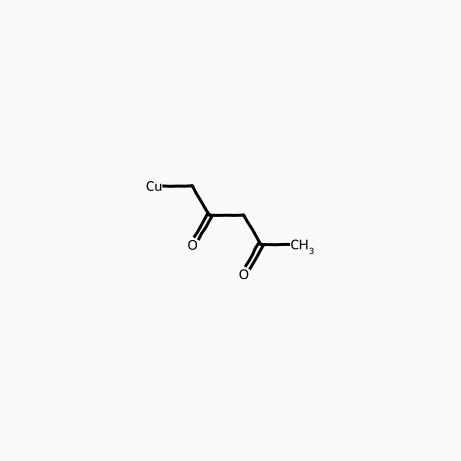 CC(=O)CC(=O)[CH2][Cu]